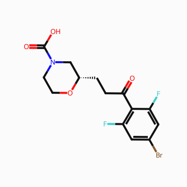 O=C(CC[C@H]1CN(C(=O)O)CCO1)c1c(F)cc(Br)cc1F